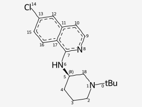 CC(C)(C)N1CCC[C@@H](Nc2nccc3cc(Cl)ccc23)C1